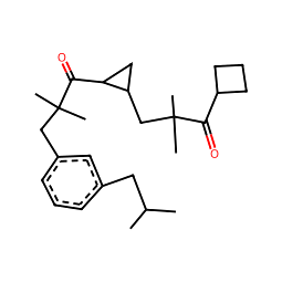 CC(C)Cc1cccc(CC(C)(C)C(=O)C2CC2CC(C)(C)C(=O)C2CCC2)c1